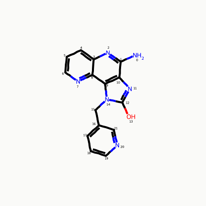 Nc1nc2cccnc2c2c1nc(O)n2Cc1cccnc1